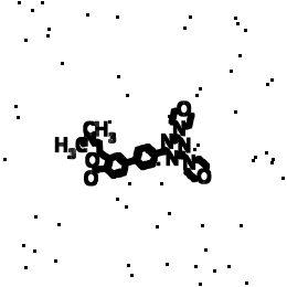 CN(C)CC1OC(=O)c2ccc(-c3c[c]c(-c4nc(N5CCOCC5)nc(N5CCOCC5)n4)cc3)cc21